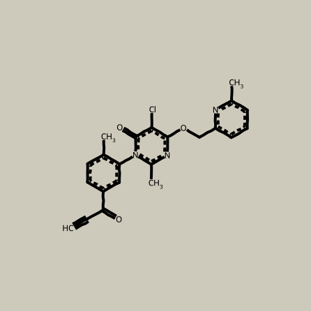 C#CC(=O)c1ccc(C)c(-n2c(C)nc(OCc3cccc(C)n3)c(Cl)c2=O)c1